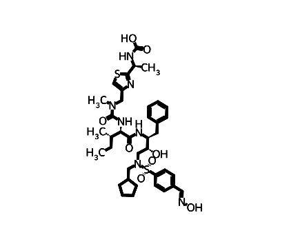 CC[C@H](C)[C@H](NC(=O)N(C)Cc1csc([C@H](C)NC(=O)O)n1)C(=O)N[C@@H](Cc1ccccc1)[C@H](O)CN(CC1CCCC1)S(=O)(=O)c1ccc(C=NO)cc1